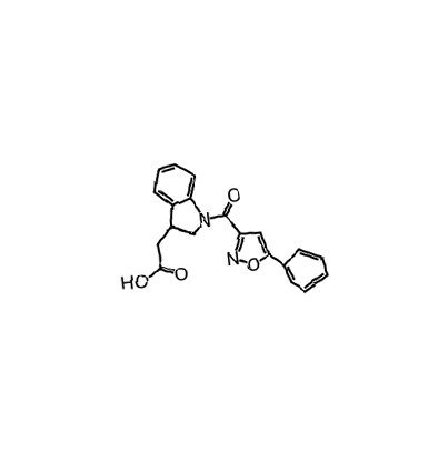 O=C(O)CC1CN(C(=O)c2cc(-c3ccccc3)on2)c2ccccc21